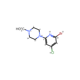 O=C(O)N1CCN(c2cc(Cl)cc(Br)n2)CC1